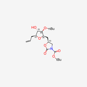 C=CC[C@@H]1O[C@H](C[C@H]2CN(C(=O)OC(C)(C)C)C(=O)O2)[C@H](OCCCC)[C@H]1O